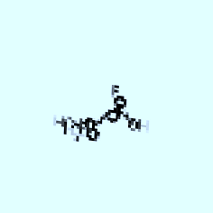 CC12C=CC=CC1=C(/C=C/c1ccc3c(c1)c1cc(F)ccc1n3CCO)C=CN2CCO